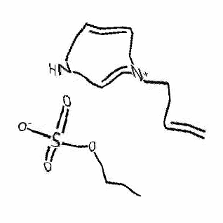 C=CC[n+]1cc[nH]c1.CCOS(=O)(=O)[O-]